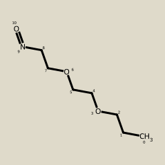 CCCOCCOCCN=O